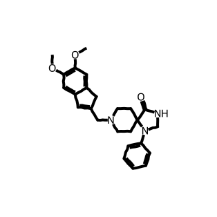 COc1cc2c(cc1OC)CC(CN1CCC3(CC1)C(=O)NCN3c1ccccc1)=C2